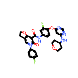 O=C(Nc1ccc(Oc2cc(NC3CCOCC3)ncn2)c(F)c1)c1c2c(cn(-c3ccc(F)cc3)c1=O)CCO2